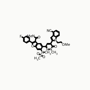 CNC(=O)c1c(-c2ccc(F)cc2)oc2cc(N(C)S(C)(=O)=O)c(-c3cc(-c4cc5c(C#N)cccc5n4CCOC)c(=O)n(C)n3)cc12